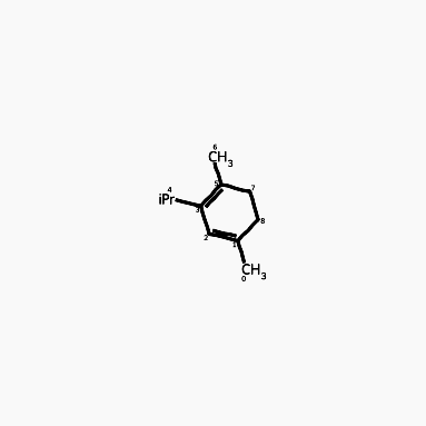 CC1=CC(C(C)C)=C(C)CC1